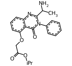 CC(C)OC(=O)COc1cccc2nc(C(C)N)n(-c3ccccc3)c(=O)c12